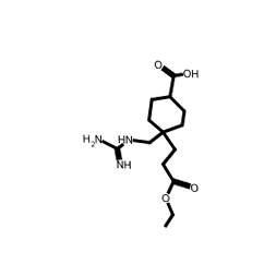 CCOC(=O)CCC1(CNC(=N)N)CCC(C(=O)O)CC1